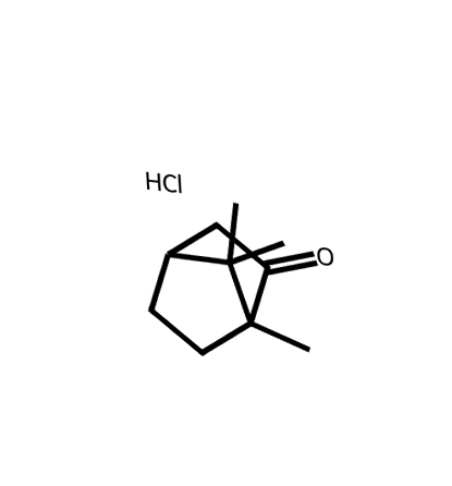 CC12CCC(CC1=O)C2(C)C.Cl